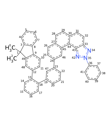 CC1(C)c2ccccc2-c2ccc(-c3ccccc3-c3cccc(-c4ccc5ccc6ccc7nn(-c8ccccc8)nc7c6c5c4)c3)cc21